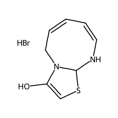 Br.OC1=CSC2N/C=C\C=C/CN12